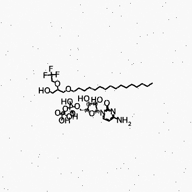 CCCCCCCCCCCCCCCCOCC(CO)OCC(F)(F)F.Nc1ccn([C@@H]2O[C@H](COP(=O)(O)OP(=O)(O)O)[C@@H](O)[C@H]2O)c(=O)n1